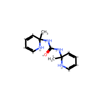 CC1(NC(=O)NC2(C)C=CC=CN2)C=CC=CN1